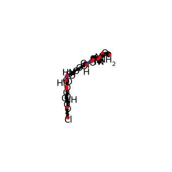 Nc1ncnc2c1c(-c1ccc(Oc3ccccc3)cc1)nn2[C@@H]1CCCN(C(=O)/C=C/CNC(=O)OCCOCCOCCNC(=O)OC/C=C\COC(=O)NCCOCCOCCOC(=O)NCCOCCOCCCCCCCl)C1